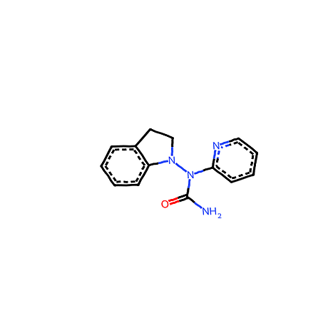 NC(=O)N(c1ccccn1)N1CCc2ccccc21